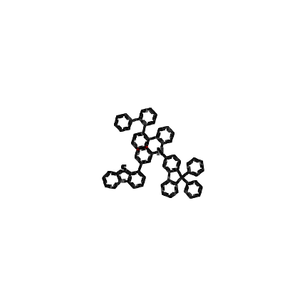 c1ccc(-c2ccccc2-c2ccccc2-c2ccccc2N(c2cccc(-c3cccc4c3sc3ccccc34)c2)c2ccc3c(c2)-c2ccccc2C3(c2ccccc2)c2ccccc2)cc1